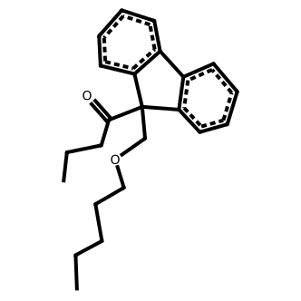 CCCCCOCC1(C(=O)CCC)c2ccccc2-c2ccccc21